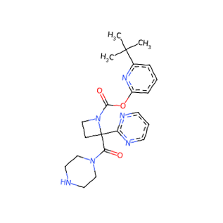 CC(C)(C)c1cccc(OC(=O)N2CCC2(C(=O)N2CCNCC2)c2ncccn2)n1